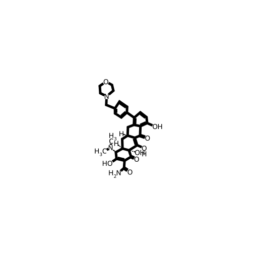 CN(C)[C@H]1C(O)=C(C(N)=O)C(=O)[C@]2(O)C(O)=C3C(=O)c4c(O)ccc(-c5ccc(CN6CCOCC6)cc5)c4C[C@@H]3C[C@H]12